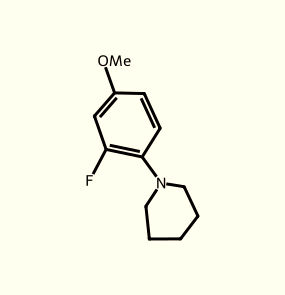 COc1ccc(N2CCCCC2)c(F)c1